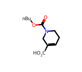 CCCCOC(=O)N1CCC=C(C(=O)O)C1